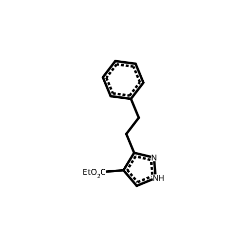 CCOC(=O)c1c[nH]nc1CCc1ccccc1